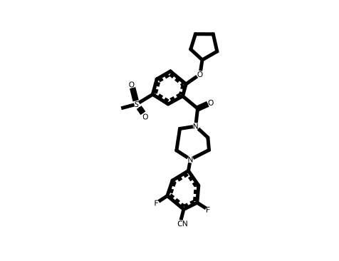 CS(=O)(=O)c1ccc(OC2CCCC2)c(C(=O)N2CCN(c3cc(F)c(C#N)c(F)c3)CC2)c1